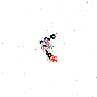 CC(C)(C)[C@H](NC(=O)c1cc2cc(C(F)(F)P(=O)(O)O)ccc2s1)C(=O)N1CCC[C@H]1C(=O)N1CC[C@H](c2ccccc2)C1